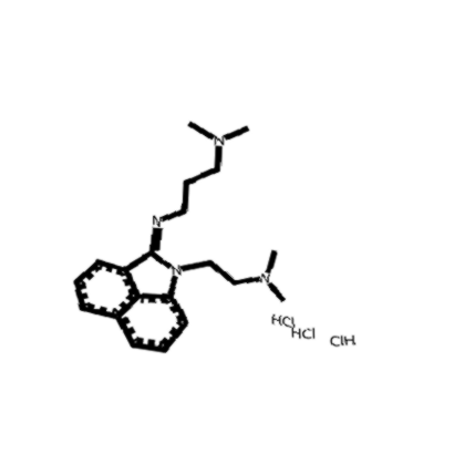 CN(C)CCC/N=C1/c2cccc3cccc(c23)N1CCN(C)C.Cl.Cl.Cl